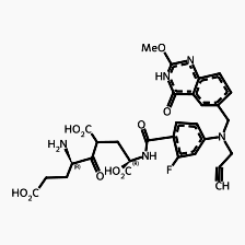 C#CCN(Cc1ccc2nc(OC)[nH]c(=O)c2c1)c1ccc(C(=O)N[C@H](CC(C(=O)O)C(=O)[C@H](N)CCC(=O)O)C(=O)O)c(F)c1